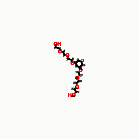 OCCOCCOCCOC1CCCC(OCCOCCOCCO)C1